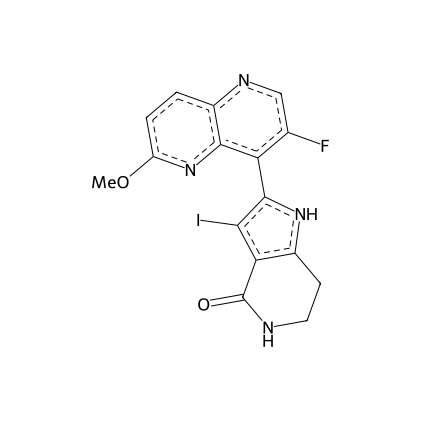 COc1ccc2ncc(F)c(-c3[nH]c4c(c3I)C(=O)NCC4)c2n1